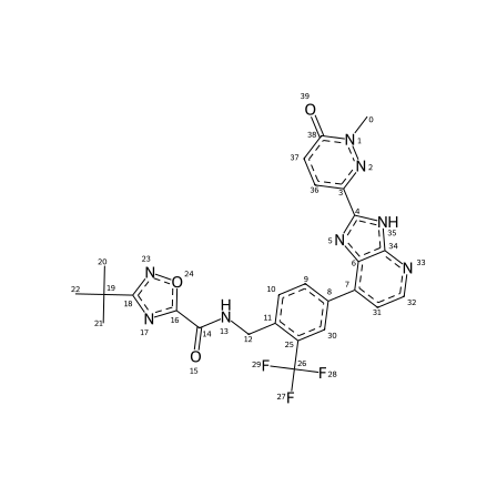 Cn1nc(-c2nc3c(-c4ccc(CNC(=O)c5nc(C(C)(C)C)no5)c(C(F)(F)F)c4)ccnc3[nH]2)ccc1=O